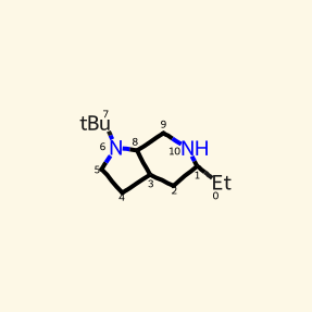 CCC1CC2CCN(C(C)(C)C)C2CN1